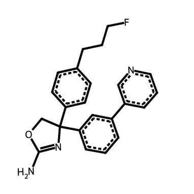 NC1=NC(c2ccc(CCCF)cc2)(c2cccc(-c3cccnc3)c2)CO1